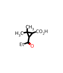 CCC(=O)C1C(C(=O)O)C1(C)C